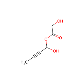 CC#CC(O)OC(=O)CO